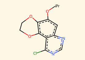 CC(C)Oc1cc2ncnc(Cl)c2c2c1OCCO2